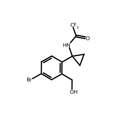 O=C(NC1(c2ccc(Br)cc2CO)CC1)C(F)(F)F